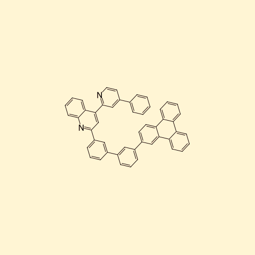 c1ccc(-c2ccnc(-c3cc(-c4cccc(-c5cccc(-c6ccc7c8ccccc8c8ccccc8c7c6)c5)c4)nc4ccccc34)c2)cc1